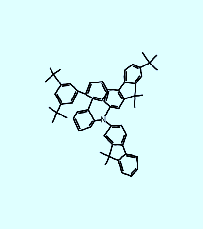 CC(C)(C)c1cc(-c2ccccc2-c2ccccc2N(c2ccc3c(c2)C(C)(C)c2ccccc2-3)c2ccc3c(c2)C(C)(C)c2cc(C(C)(C)C)ccc2-3)cc(C(C)(C)C)c1